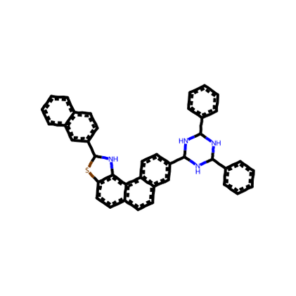 c1ccc(C2NC(c3ccccc3)NC(c3ccc4c(ccc5ccc6c(c54)NC(c4ccc5ccccc5c4)S6)c3)N2)cc1